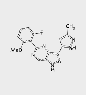 COc1cccc(F)c1-c1ncc2[nH]nc(-c3cc(C)n[nH]3)c2n1